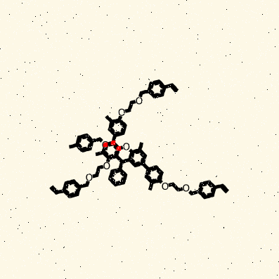 C=Cc1ccc(COCCOc2ccc(-c3cc(C)c(OCCOCc4ccc(C)cc4)c(C(c4ccccc4)c4cc(-c5ccc(OCCOCc6ccc(C=C)cc6)c(C)c5)cc(C)c4OCCOCc4ccc(C=C)cc4)c3)cc2C)cc1